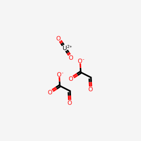 O=CC(=O)[O-].O=CC(=O)[O-].[O]=[U+2]=[O]